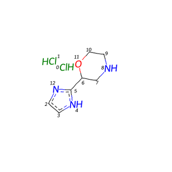 Cl.Cl.c1c[nH]c(C2CNCCO2)n1